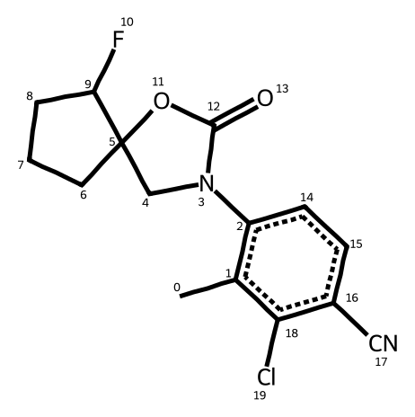 Cc1c(N2CC3(CCCC3F)OC2=O)ccc(C#N)c1Cl